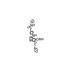 COc1cc2c(Nc3ccc(C=CC(=O)NCC4CCCO4)cc3)ncnc2cc1OCCCN1CCOCC1